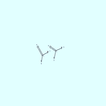 O=C(F)F.O=C(F)F